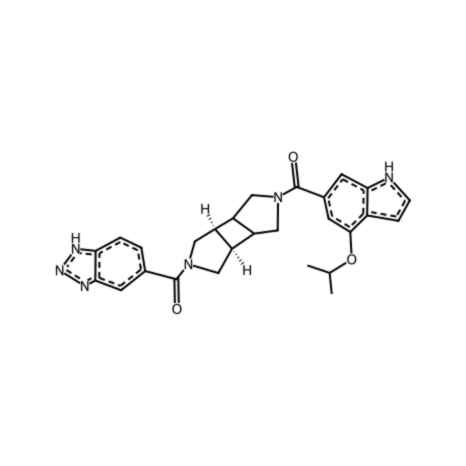 CC(C)Oc1cc(C(=O)N2CC3C(C2)[C@@H]2CN(C(=O)c4ccc5[nH]nnc5c4)C[C@H]32)cc2[nH]ccc12